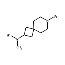 CC(C)N1CCC2(CC1)CC(N(C)C(C)C)C2